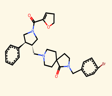 O=C(C1=CCCO1)N1C[C@H](CN2CCC3(CC2)CCN(Cc2ccc(Br)cc2)C3=O)[C@@H](c2ccccc2)C1